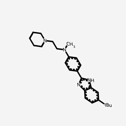 CN(CCN1CCCCC1)c1ccc(-c2nc3ccc(C(C)(C)C)cc3[nH]2)cc1